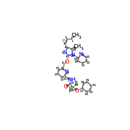 C=C/C=C\c1nc(OCc2cccc(NC(=O)C(F)(F)Oc3ccccc3)n2)n(-c2ccccn2)c1C